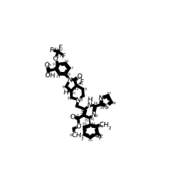 CCOC(=O)C1=C(CN2CC[C@]3(F)C(=O)N(c4ccc(OC(F)(F)F)c(C(=O)O)c4)C[C@@H]3C2)NC(c2nccs2)=N[C@H]1c1cccc(F)c1C